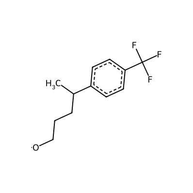 CC(CCC[O])c1ccc(C(F)(F)F)cc1